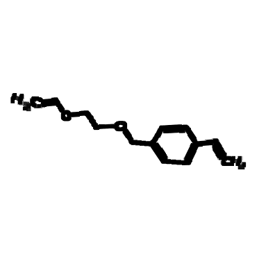 C=COCCOCc1ccc(C=C)cc1